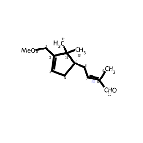 COCC1=CCC(C/C=C(\C)C=O)C1(C)C